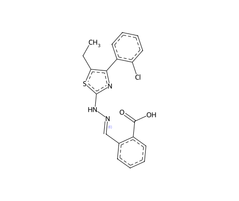 CCc1sc(N/N=C/c2ccccc2C(=O)O)nc1-c1ccccc1Cl